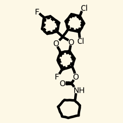 O=C(NC1CCCCCC1)Oc1cc2c(cc1F)OC(c1ccc(F)cc1)(c1ccc(Cl)cc1Cl)O2